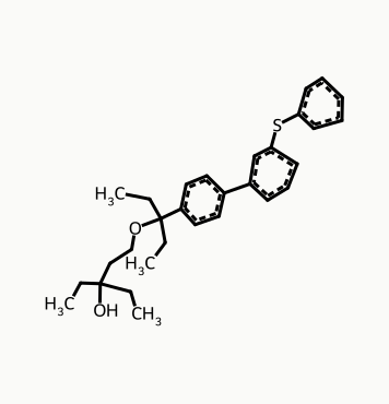 CCC(O)(CC)CCOC(CC)(CC)c1ccc(-c2cccc(Sc3ccccc3)c2)cc1